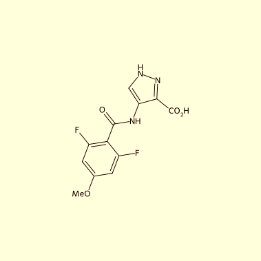 COc1cc(F)c(C(=O)Nc2c[nH]nc2C(=O)O)c(F)c1